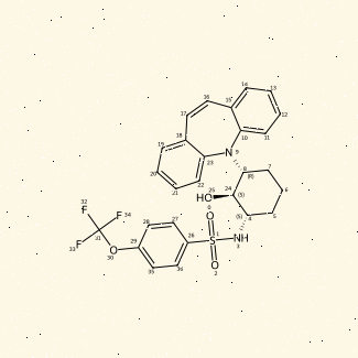 O=S(=O)(N[C@H]1CCC[C@@H](N2c3ccccc3C=Cc3ccccc32)[C@@H]1O)c1ccc(OC(F)(F)F)cc1